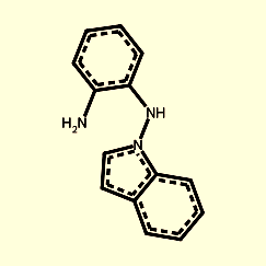 Nc1ccccc1Nn1ccc2ccccc21